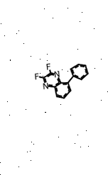 Fc1nc2cccc(-c3ccccc3)c2nc1F